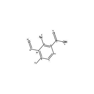 [2H]c1c(C(=O)O)ccc(C)c1C=O